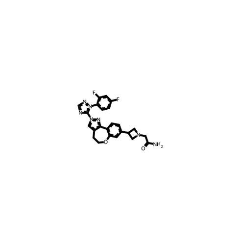 NC(=O)CN1CC(c2ccc3c(c2)OCCc2cn(-c4ncnn4-c4ccc(F)cc4F)nc2-3)C1